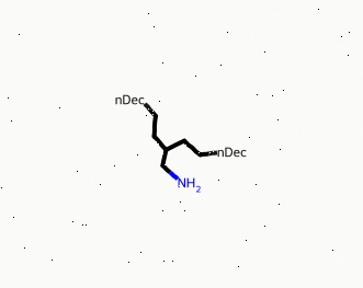 CCCCCCCCCCCCC(CN)CCCCCCCCCCCC